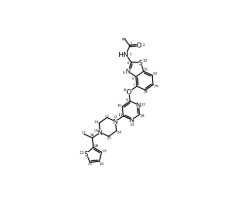 CC(=O)Nc1nc2c(Oc3cc(N4CCN(C(C)c5cccs5)CC4)ncn3)cccc2s1